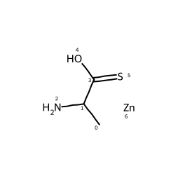 CC(N)C(O)=S.[Zn]